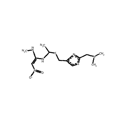 CN/C(=C/[N+](=O)[O-])NC(C)SCc1csc(CN(C)C)n1